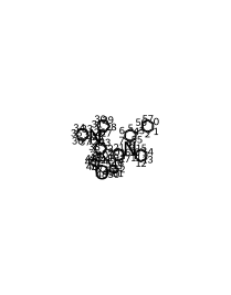 c1ccc(-c2cccc(N(c3ccccc3)c3ccc4c(c3)-c3cc(N(c5ccccc5)c5ccccc5)ccc3C43c4ccccc4Oc4ccccc43)c2)cc1